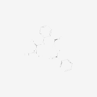 CC(C)N(C)C(=O)Oc1ccccc1C(=O)OOC(=O)c1ccccc1